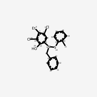 CCc1c(Cl)cc(N(Cc2ccccc2)Sc2ccccc2C)c(O)c1Cl